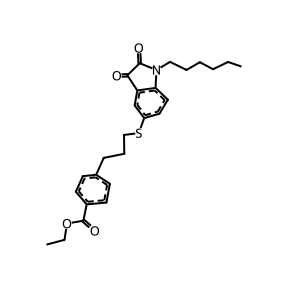 CCCCCCN1C(=O)C(=O)c2cc(SCCCc3ccc(C(=O)OCC)cc3)ccc21